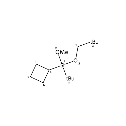 CO[Si](OCC(C)(C)C)(C1CCC1)C(C)(C)C